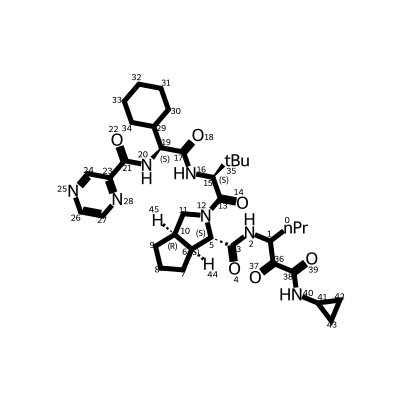 CCCC(NC(=O)[C@@H]1[C@H]2CCC[C@H]2CN1C(=O)[C@@H](NC(=O)[C@@H](NC(=O)c1cnccn1)C1CCCCC1)C(C)(C)C)C(=O)C(=O)NC1CC1